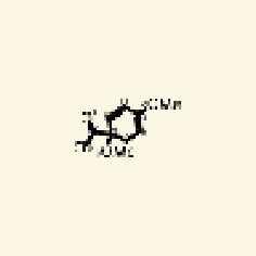 COC1=CCC(OC)(C(=O)Cl)C=C1